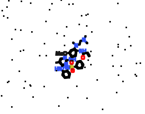 C=CC(=O)Nc1cc(Nc2ncc(C)c(Nc3ccccc3NS(=O)(=O)c3ccccc3)n2)c(OC)cc1N(C)CCN(C)C